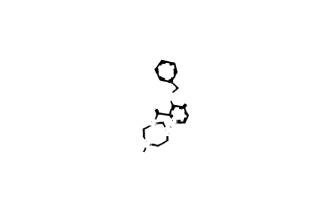 CN1CCN2CN(CC1)n1ccc(=O)c(OCc3ccccc3)c1C2=O